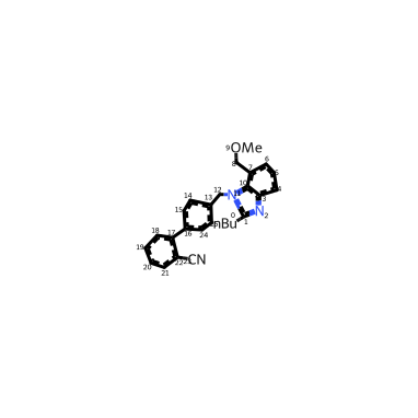 CCCCc1nc2cccc(COC)c2n1Cc1ccc(-c2ccccc2C#N)cc1